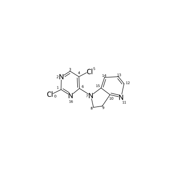 Clc1ncc(Cl)c(N2CCc3ncccc32)n1